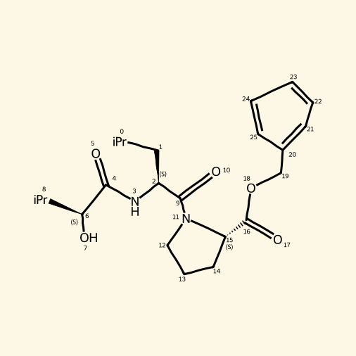 CC(C)C[C@H](NC(=O)[C@@H](O)C(C)C)C(=O)N1CCC[C@H]1C(=O)OCc1ccccc1